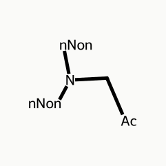 CCCCCCCCCN(CCCCCCCCC)CC(C)=O